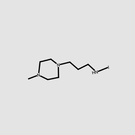 CN1CCN(CCCNI)CC1